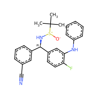 CC(C)(C)[S+]([O-])N[C@H](c1cccc(C#N)c1)c1ccc(F)c(Nc2ccccc2)c1